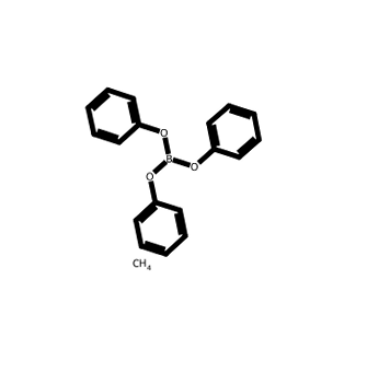 C.c1ccc(OB(Oc2ccccc2)Oc2ccccc2)cc1